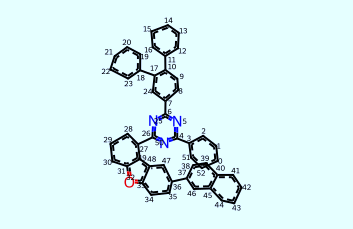 c1ccc(-c2nc(-c3ccc(-c4ccccc4)c(-c4ccccc4)c3)nc(-c3cccc4oc5ccc(-c6ccc7ccccc7c6)cc5c34)n2)cc1